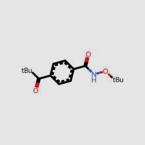 CC(C)(C)ONC(=O)c1ccc(C(=O)C(C)(C)C)cc1